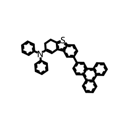 C1=C(N(c2ccccc2)c2ccccc2)CCc2sc3ccc(-c4ccc5c6ccccc6c6ccccc6c5c4)cc3c21